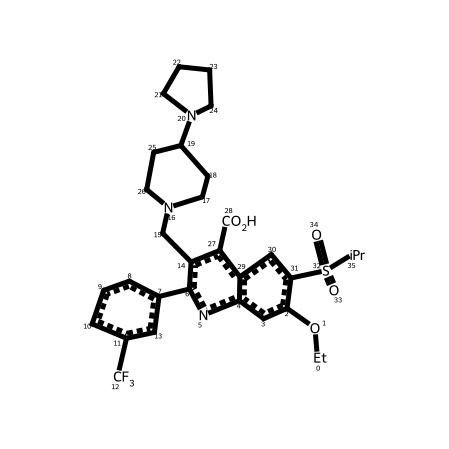 CCOc1cc2nc(-c3cccc(C(F)(F)F)c3)c(CN3CCC(N4CCCC4)CC3)c(C(=O)O)c2cc1S(=O)(=O)C(C)C